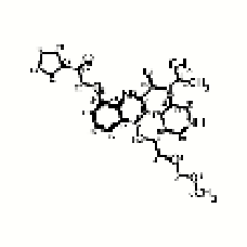 COCOCCOc1cc(C(=O)N(C(C)C)[C@@H]2CCCNC2)nc2c(OCC(=O)C3CCCC3)cccc12